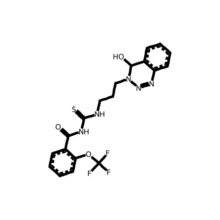 O=C(NC(=S)NCCCN1N=Nc2ccccc2C1O)c1ccccc1OC(F)(F)F